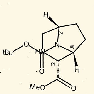 COC(=O)[C@@H]1NC[C@@H]2CC[C@H]1N2C(=O)OC(C)(C)C